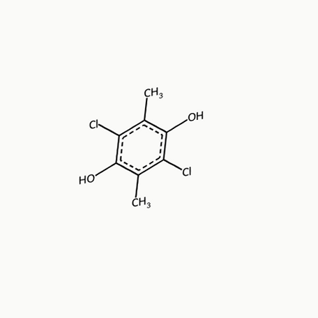 Cc1c(O)c(Cl)c(C)c(O)c1Cl